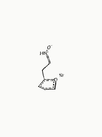 [Na].[O-][NH+]=CCc1ccco1